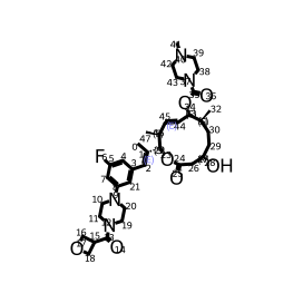 C/C(=C\c1cc(F)cc(N2CCN(C(=O)C3COC3)CC2)c1)[C@H]1OC(=O)C[C@H](O)CC[C@H](C)[C@H](OC(=O)N2CCN(C)CC2)/C=C/[C@@H]1C